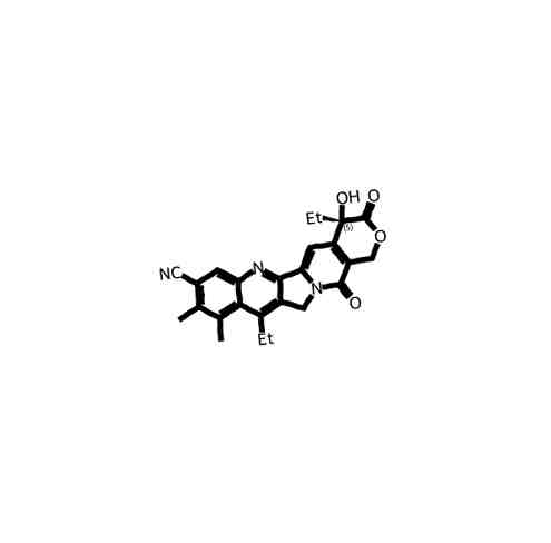 CCc1c2c(nc3cc(C#N)c(C)c(C)c13)-c1cc3c(c(=O)n1C2)COC(=O)[C@]3(O)CC